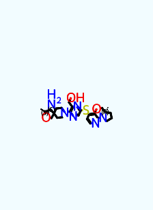 C[C@@H]1OCC2(CCN(c3ncc(Sc4ccnc5c4OC[C@@]4(C)CCCN54)nc3CO)CC2)[C@@H]1N